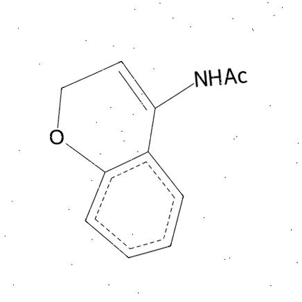 CC(=O)NC1=CCOc2ccccc21